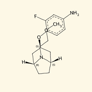 COCCN1[C@@H]2CC[C@H]1C[C@H](Oc1ccc(N)cc1F)C2